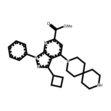 COC(=O)c1cc(N2CCC3(CCNCC3)CC2)c2c(C3CCC3)nn(-c3ccccc3)c2n1